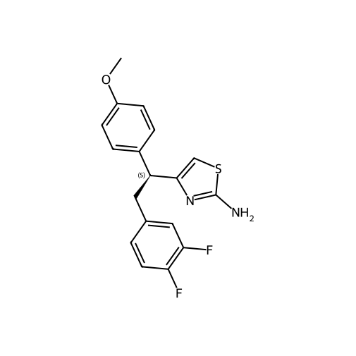 COc1ccc([C@H](Cc2ccc(F)c(F)c2)c2csc(N)n2)cc1